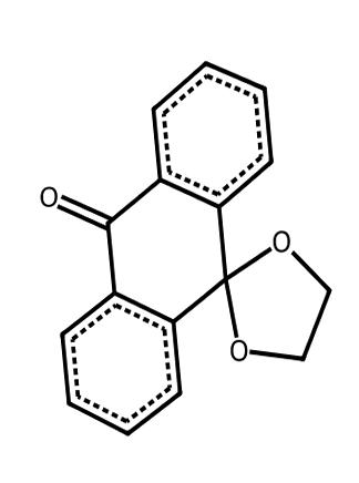 O=C1c2ccccc2C2(OCCO2)c2ccccc21